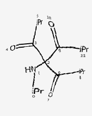 CC(C)NC(C(=O)C(C)C)(C(=O)C(C)C)C(=O)C(C)C